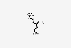 CCC(C)CCC(C)CCSOC(C)=O